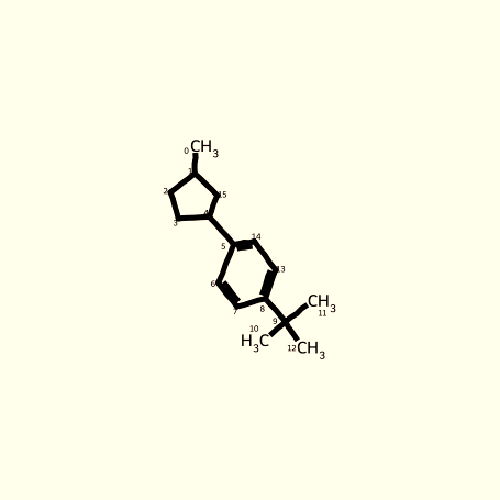 CC1CCC(c2ccc(C(C)(C)C)cc2)C1